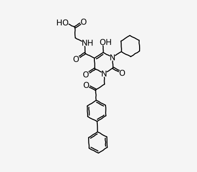 O=C(O)CNC(=O)c1c(O)n(C2CCCCC2)c(=O)n(CC(=O)c2ccc(-c3ccccc3)cc2)c1=O